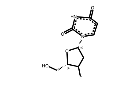 O=c1ccn([C@@H]2CC(F)[C@H](CO)O2)c(=O)[nH]1